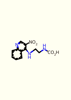 O=C(O)NCCNc1c([N+](=O)[O-])cnc2ccccc12